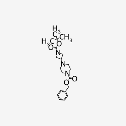 CC(C)(C)OC(=O)N1CC(N2CCN(C(=O)OCc3ccccc3)CC2)C1